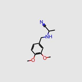 COc1ccc(CNC(C)C#N)cc1OC